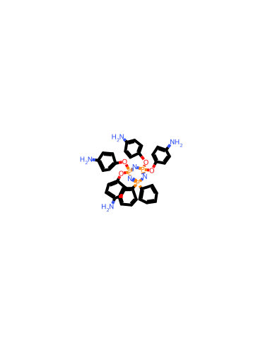 Nc1ccc(OP2(Oc3ccc(N)cc3)=NP(Oc3ccc(N)cc3)(Oc3ccc(N)cc3)=NP(c3ccccc3)(c3ccccc3)=N2)cc1